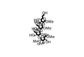 CCCO[C@@H]1C(OC)[C@@H](O[C@@H]2C(OC)[C@@H](O[C@@H]3C(OC)[C@@H](OC4C(OC)OC(CCO)[C@@H](CO)[C@@H]4CO)OC(COC)[C@H]3CO)OC(COC)[C@H]2CO)OC(COC)[C@H]1CO